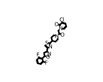 O=C(Cn1cccc(Cl)c1=O)N1CCC(c2nc(C3=NOC(c4c(F)cccc4F)C3)cs2)CC1